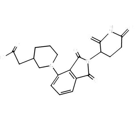 O=C(O)CC1CCCN(c2cccc3c2C(=O)N(C2CCC(=O)NC2=O)C3=O)C1